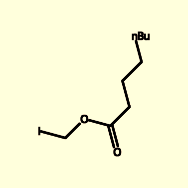 CCCCCCCC(=O)OCI